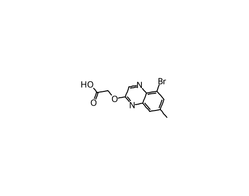 Cc1cc(Br)c2ncc(OCC(=O)O)nc2c1